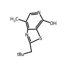 Cc1cnc(O)c2sc(CC(C)(C)C)nc12